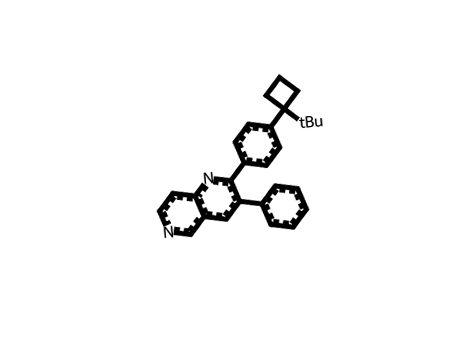 CC(C)(C)C1(c2ccc(-c3nc4ccncc4cc3-c3ccccc3)cc2)CCC1